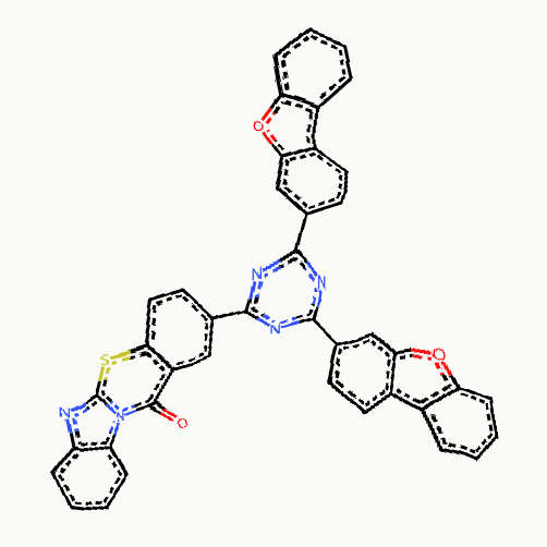 O=c1c2cc(-c3nc(-c4ccc5c(c4)oc4ccccc45)nc(-c4ccc5c(c4)oc4ccccc45)n3)ccc2sc2nc3ccccc3n12